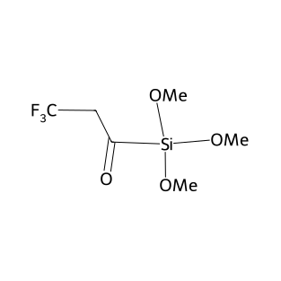 CO[Si](OC)(OC)C(=O)CC(F)(F)F